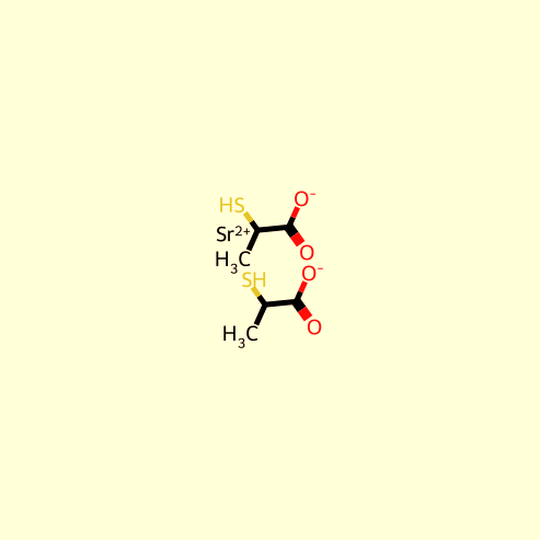 CC(S)C(=O)[O-].CC(S)C(=O)[O-].[Sr+2]